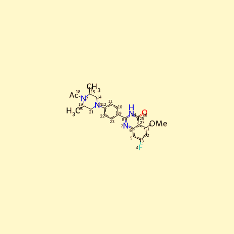 COc1cc(F)cc2nc(-c3ccc(N4CC(C)N(C(C)=O)C(C)C4)cc3)[nH]c(=O)c12